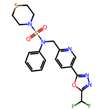 O=S(=O)(N1CCSCC1)N(Cc1ccc(-c2nnc(C(F)F)o2)cn1)c1ccccc1